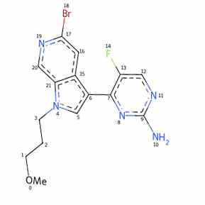 COCCCn1cc(-c2nc(N)ncc2F)c2cc(Br)ncc21